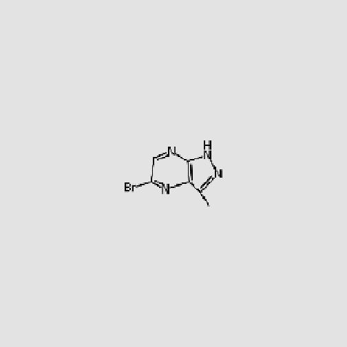 Cc1n[nH]c2ncc(Br)nc12